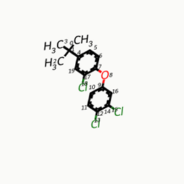 CC(C)(C)c1ccc(Oc2ccc(Cl)c(Cl)c2)c(Cl)c1